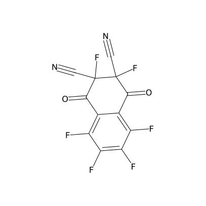 N#CC1(F)C(=O)c2c(F)c(F)c(F)c(F)c2C(=O)C1(F)C#N